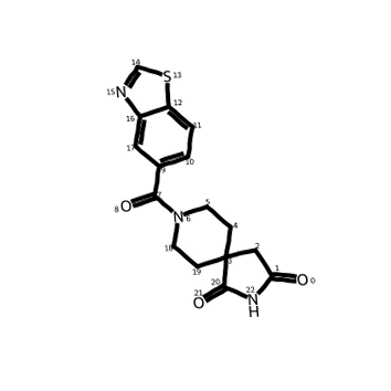 O=C1CC2(CCN(C(=O)c3ccc4scnc4c3)CC2)C(=O)N1